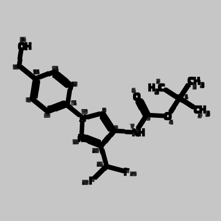 CC(C)(C)OC(=O)Nc1cn(-c2ccc(CO)cc2)nc1C(F)F